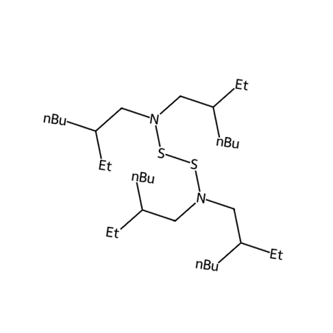 CCCCC(CC)CN(CC(CC)CCCC)SSN(CC(CC)CCCC)CC(CC)CCCC